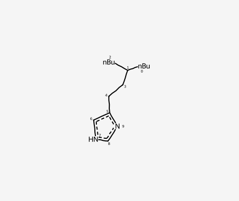 CCCCC(CCCC)CCc1c[nH]cn1